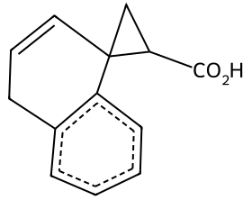 O=C(O)C1CC12C=CCc1ccccc12